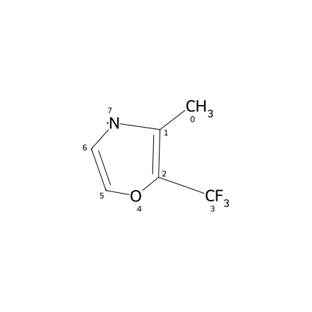 CC1=C(C(F)(F)F)OC=C[N]1